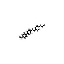 CCCC1CCC(CCc2ccc(-c3ccc(CC)cc3)nc2)CC1